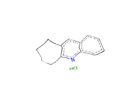 Cl.c1ccc2nc3c(cc2c1)CCCC3